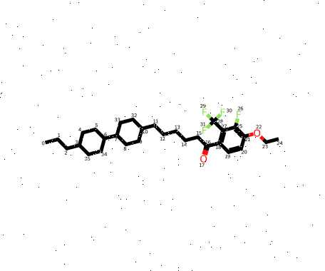 CCCC1CCC(C2CCC(CCCCCC(=O)c3ccc(OCC)c(F)c3C(F)(F)F)CC2)CC1